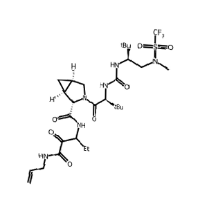 C=CCNC(=O)C(=O)C(CC)NC(=O)[C@@H]1[C@H]2C[C@H]2CN1C(=O)[C@@H](NC(=O)N[C@H](CN(C)S(=O)(=O)C(F)(F)F)C(C)(C)C)C(C)(C)C